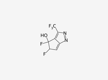 OC1(F)C2=C(C(F)(F)F)N=NC2=CC1F